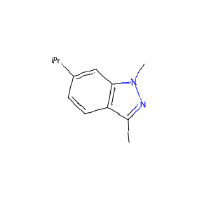 Cc1nn(C)c2cc(C(C)C)ccc12